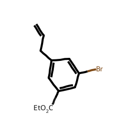 C=CCc1cc(Br)cc(C(=O)OCC)c1